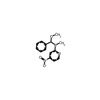 COC(c1ccccc1)N(C)c1cc([N+](=O)[O-])ccn1